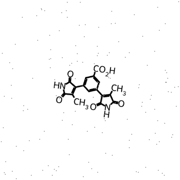 CC1=C(c2cc(C(=O)O)cc(C3=C(C)C(=O)NC3=O)c2)C(=O)NC1=O